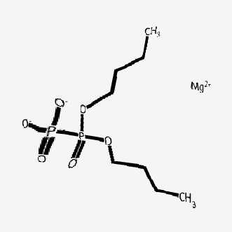 CCCCOP(=O)(OCCCC)P(=O)([O-])[O-].[Mg+2]